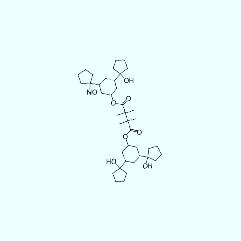 CC(C)(C(=O)OC1CC(C2(O)CCCC2)CC(C2(O)CCCC2)C1)C(C)(C)C(=O)OC1CC(C2(O)CCCC2)CC(C2(N=O)CCCC2)C1